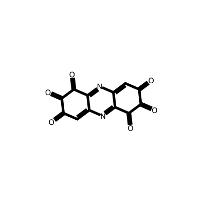 O=C1C=c2nc3c(nc2C(=O)C1=O)=CC(=O)C(=O)C3=O